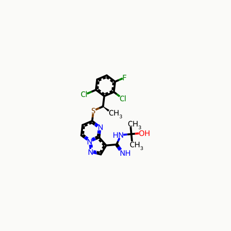 C[C@@H](Sc1ccn2ncc(C(=N)NC(C)(C)O)c2n1)c1c(Cl)ccc(F)c1Cl